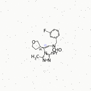 CCCc1nnc(C)n1/C(=C\N(C=O)Cc1cccc(F)c1)[C@H]1CCOC1